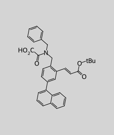 CC(C)(C)OC(=O)C=Cc1cc(-c2cccc3ccccc23)ccc1CN(Cc1ccccc1)C(=O)C(=O)O